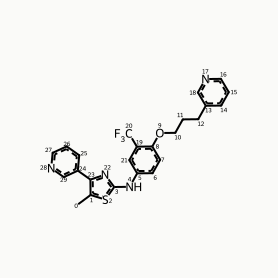 Cc1sc(Nc2ccc(OCCCc3cccnc3)c(C(F)(F)F)c2)nc1-c1cccnc1